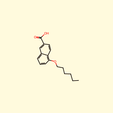 CCCCCCOc1cccc2cc(C(=O)O)ccc12